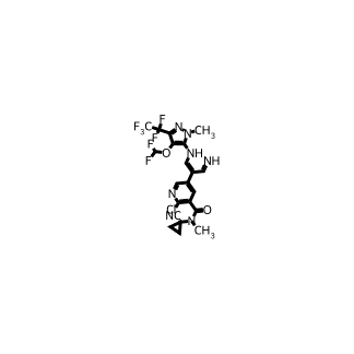 CN(C(=O)c1cc(/C(C=N)=C/Nc2c(OC(F)F)c(C(F)(F)C(F)(F)F)nn2C)cnc1Cl)C1(C#N)CC1